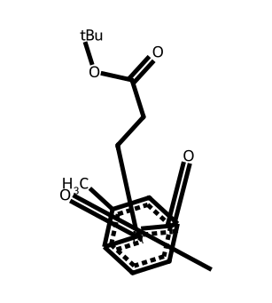 Cc1cc2ccc1c(=O)n(CCC(=O)OC(C)(C)C)c2=O